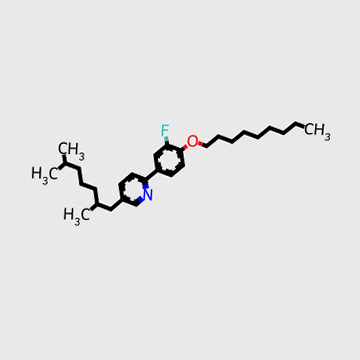 CCCCCCCCCOc1ccc(-c2ccc(CC(C)CCCC(C)C)cn2)cc1F